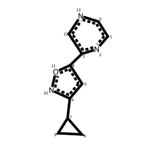 c1cnc(-c2cc(C3CC3)no2)cn1